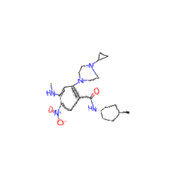 CNc1cc(N2CCN(C3CC3)CC2)c(C(=O)N[C@H]2CC[C@H](C)CC2)cc1[N+](=O)[O-]